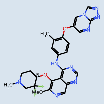 COc1ncc2ncnc(Nc3ccc(Oc4cnc5nncn5c4)c(C)c3)c2c1O[C@@H]1CCN(C)CC1(F)F